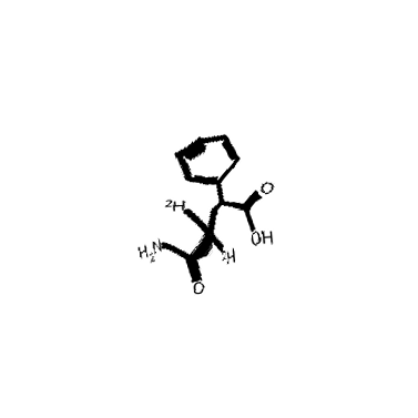 [2H]C([2H])(C(N)=O)C(C(=O)O)c1ccccc1